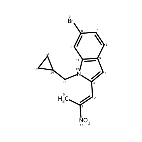 CC(=Cc1cc2ccc(Br)cc2n1CC1CC1)[N+](=O)[O-]